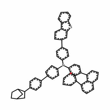 c1ccc(-c2cccc3cccc(-c4ccc(N(c5ccc(-c6ccc(C7CC8CCC7C8)cc6)cc5)c5ccc(-c6ccc7c(c6)sc6ccccc67)cc5)cc4)c23)cc1